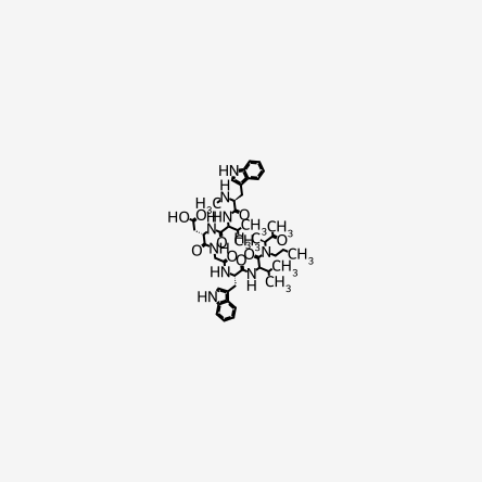 CCCN(C(=O)C(NC(=O)[C@H](Cc1c[nH]c2ccccc12)NC(=O)CNC(=O)[C@H](CC(=O)O)NC(=O)C(NC(=O)[C@H](Cc1c[nH]c2ccccc12)NC)C(C)C)C(C)C)[C@@H](C)C(C)=O